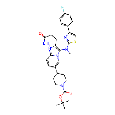 CN(c1nc(-c2ccc(F)cc2)cs1)c1c(CCC(N)=O)nc2ccc(C3CCN(C(=O)OC(C)(C)C)CC3)cn12